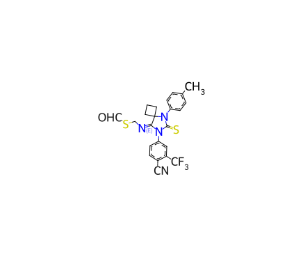 Cc1ccc(N2C(=S)N(c3ccc(C#N)c(C(F)(F)F)c3)/C(=N/CSC=O)C23CCC3)cc1